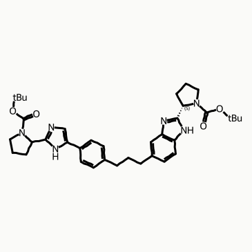 CC(C)(C)OC(=O)N1CCCC1c1ncc(-c2ccc(CCCc3ccc4[nH]c([C@@H]5CCCN5C(=O)OC(C)(C)C)nc4c3)cc2)[nH]1